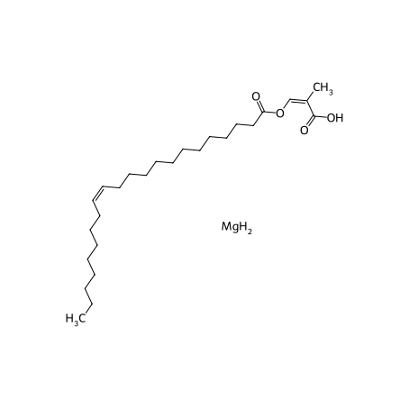 CCCCCCCC/C=C\CCCCCCCCCCCC(=O)OC=C(C)C(=O)O.[MgH2]